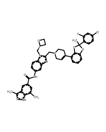 Cc1n[nH]c2c(C)cc(C(=O)Nc3ccc4c(c3)nc(CN3CC=C(c5cccc6c5OC(C)(c5ccc(Cl)cc5F)O6)CC3)n4C[C@@H]3CCO3)cc12